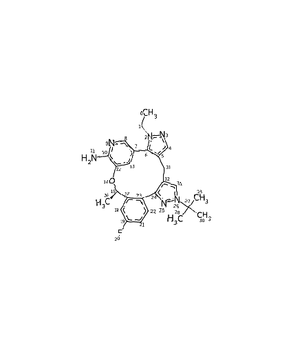 CCn1ncc2c1-c1cnc(N)c(c1)O[C@H](C)c1cc(F)ccc1-c1nn(C(C)(C)C)cc1C2